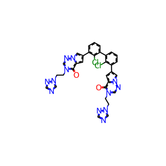 O=c1c2cc(-c3cccc(-c4cccc(-c5cc6c(=O)n(CCn7cncn7)cnn6c5)c4Cl)c3Cl)cn2ncn1CCn1cncn1